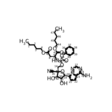 CCCCCOC(=O)C[C@H](N[P@](=O)(OC[C@@]1(C#N)O[C@@H](c2ccc3c(N)ncnn23)[C@H](O)[C@@H]1O)Oc1ccccc1)C(=O)OCCCCC